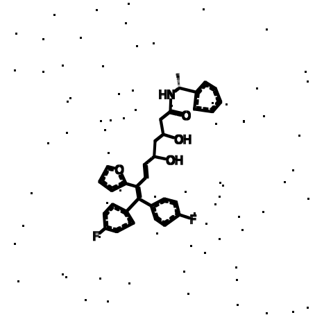 C[C@@H](NC(=O)CC(O)CC(O)/C=C/C(=C(c1ccc(F)cc1)c1ccc(F)cc1)c1ccco1)c1ccccc1